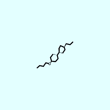 CCCCO[C@H]1CC[C@H]([C@H]2CC[C@H](CCC)CC2)CC1